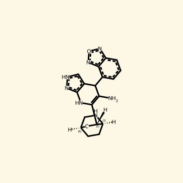 NC1=C([C@H]2C[C@H]3CC[C@@H]2NC3)Nc2n[nH]cc2C1c1cccc2nonc12